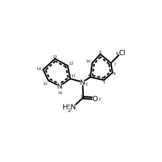 NC(=O)N(c1ccc(Cl)cc1)c1ccccn1